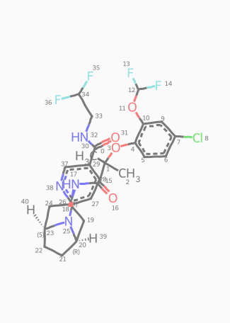 CC(C)(Oc1ccc(Cl)cc1OC(F)F)C(=O)N[C@H]1C[C@H]2CC[C@@H](C1)N2c1ccc(C(=O)NCC(F)F)cn1